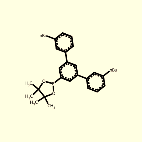 CCCCc1cccc(-c2cc(B3OC(C)(C)C(C)(C)O3)cc(-c3cccc(CCCC)c3)c2)c1